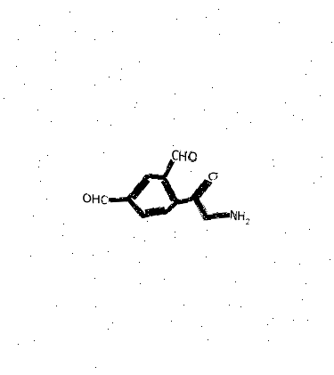 NCC(=O)c1ccc(C=O)cc1C=O